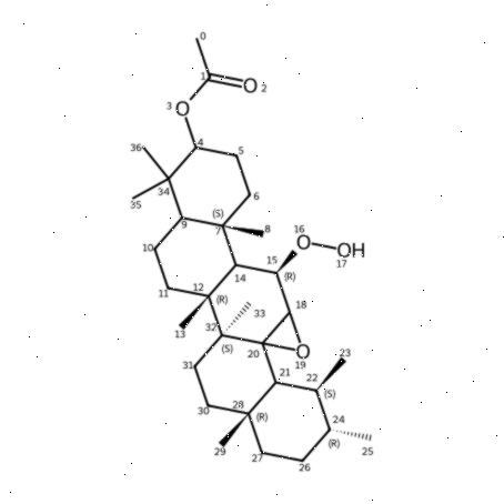 CC(=O)OC1CC[C@@]2(C)C(CC[C@]3(C)C2[C@@H](OO)C2OC24C2[C@@H](C)[C@H](C)CC[C@]2(C)CC[C@]43C)C1(C)C